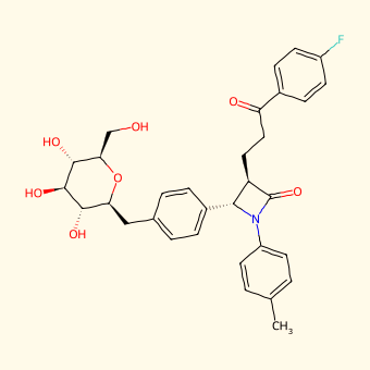 Cc1ccc(N2C(=O)[C@H](CCC(=O)c3ccc(F)cc3)[C@H]2c2ccc(C[C@@H]3O[C@H](CO)[C@@H](O)[C@H](O)[C@H]3O)cc2)cc1